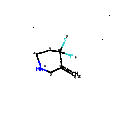 C=C1CNCCC1(F)F